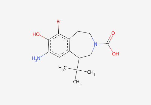 CC(C)(C)C1CN(C(=O)O)CCc2c1cc(N)c(O)c2Br